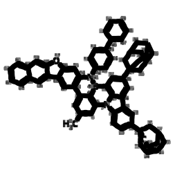 Cc1cc2c3c(c1)-n1c4ccc(C56CCC7CC(CC7C5)C6)cc4c4cc(C56CC7CC(CC(C7)C5)C6)cc(c41)B3N(c1ccc(-c3ccccc3)cc1)c1cc3oc4cc5ccccc5cc4c3cc1-2